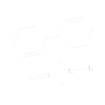 N#Cn1oc(=O)o1.c1ccc(-c2ccccc2)cc1